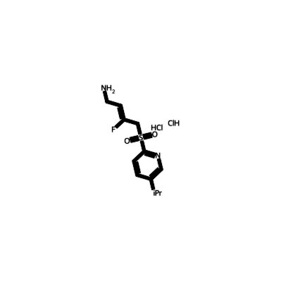 CC(C)c1ccc(S(=O)(=O)C/C(F)=C/CN)nc1.Cl.Cl